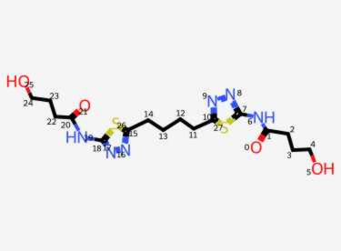 O=C(CCCO)Nc1nnc(CCCCc2nnc(NC(=O)CCCO)s2)s1